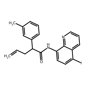 C=CCC(C(=O)Nc1ccc(I)c2cccnc12)c1cccc(C)c1